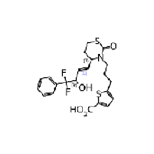 O=C(O)c1ccc(CCCN2C(=O)SCC[C@@H]2/C=C/[C@@H](O)C(F)(F)c2ccccc2)s1